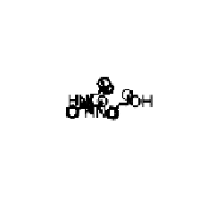 O=C(O)C=Cc1cccc(NC(=O)c2nc(C3CCCCC3)[nH]c2CCC23CC4CC(CC(C4)C2)C3)c1